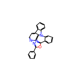 c1ccc(-c2nnc(-c3ccccc3-n3c4ccccc4c4ccncc43)o2)cc1